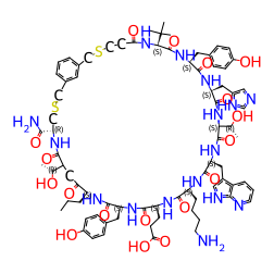 CCC[C@@H]1NC(=O)[C@H](Cc2ccc(O)cc2)NC(=O)[C@H](CCC(=O)O)NC(=O)[C@H](CCCCN)NC(=O)[C@H](Cc2c[nH]c3ncccc23)NC(=O)[C@H]([C@@H](C)O)NC(=O)[C@H](Cc2cnc[nH]2)NC(=O)[C@H](Cc2ccc(O)cc2)NC(=O)[C@H](C(C)(C)C)NC(=O)CCSCc2cccc(c2)CSC[C@@H](C(N)=O)NC(=O)C([C@@H](C)O)CC1=O